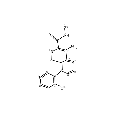 CCCNC(=O)c1ncc2c(-c3cnccc3C)cccc2c1N